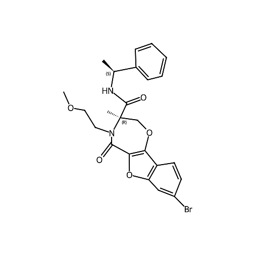 COCCN1C(=O)c2oc3cc(Br)ccc3c2OC[C@]1(C)C(=O)N[C@@H](C)c1ccccc1